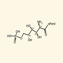 CCCCCC(=O)[C@H](N)[C@@H](O)[C@H](O)[C@H](O)COP(=O)(O)O